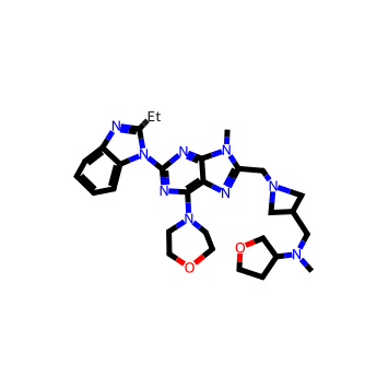 CCc1nc2ccccc2n1-c1nc(N2CCOCC2)c2nc(CN3CC(CN(C)C4CCOC4)C3)n(C)c2n1